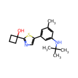 Cc1cc(NC(C)(C)C)cc(-c2cnc(C3(O)CCC3)s2)c1